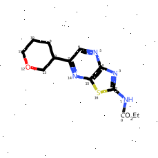 CCOC(=O)Nc1nc2ncc(C3CCCOC3)nc2s1